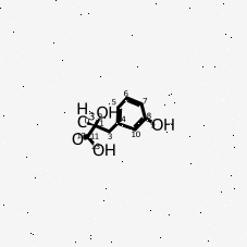 C[C@@](O)(Cc1cccc(O)c1)C(=O)O